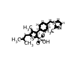 Cc1c(CC(C)C)sc(S(=O)(=O)O)c1-c1ccc(Cn2ccnc2C)cc1